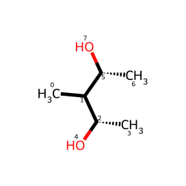 CC([C@H](C)O)[C@@H](C)O